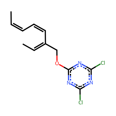 CC=C(/C=C\C=C/C)COc1nc(Cl)nc(Cl)n1